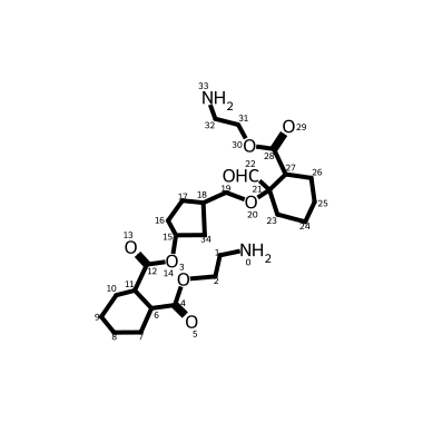 NCCOC(=O)C1CCCCC1C(=O)OC1CCC(COC2(C=O)CCCCC2C(=O)OCCN)C1